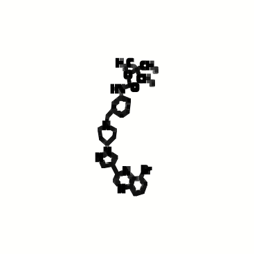 CC(C)(C)OC(=O)Nc1cccc(CN2CCC(n3cc(-c4cnc5cccc(Br)c5n4)cn3)CC2)c1